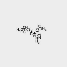 CN(C)C(=O)c1cccc(-c2ccc3nc(-c4cccnc4N)n(-c4ccc(C5(N)CCC5)cc4)c3n2)c1